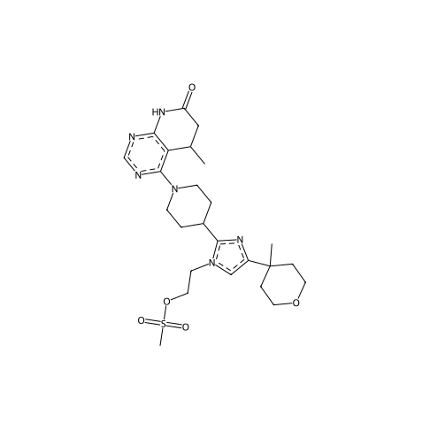 CC1CC(=O)Nc2ncnc(N3CCC(c4nc(C5(C)CCOCC5)cn4CCOS(C)(=O)=O)CC3)c21